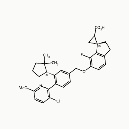 COc1ccc(Cl)c(-c2ccc(COc3ccc4c(c3F)[C@]3(CC4)CC3C(=O)O)cc2[C@@H]2CCCC2(C)C)n1